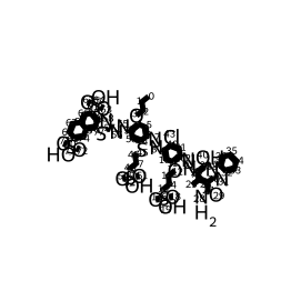 CCCOc1cc(N=Nc2cc(OCCCS(=O)(=O)O)c(N=Nc3c(C)c(C(N)=O)c4nc5ccccc5n4c3O)cc2Cl)c(SCCCS(=O)(=O)O)cc1N=Nc1nc2c(S(=O)(=O)O)cc3ccc(S(=O)(=O)O)cc3c2s1